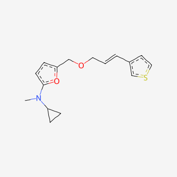 CN(c1ccc(COC/C=C/c2ccsc2)o1)C1CC1